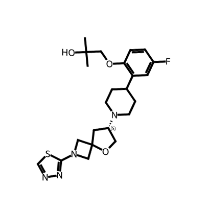 CC(C)(O)COc1ccc(F)cc1C1CCN([C@@H]2COC3(C2)CN(c2nncs2)C3)CC1